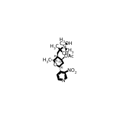 CC(=O)O[C@H]1C[C@H](c2ccncc2[N+](=O)[O-])O[C@H](C)[C@H]1CC(C)(C)[Si](C)(C)O